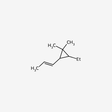 CC=CC1C(CC)C1(C)C